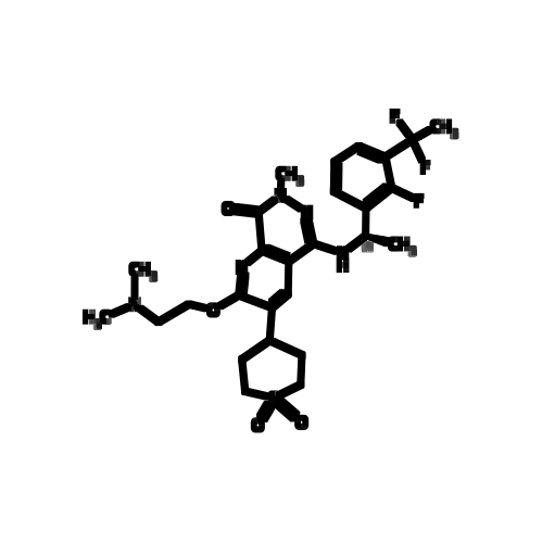 C[C@@H](Nc1nn(C)c(=O)c2nc(OCCN(C)C)c(C3CCS(=O)(=O)CC3)cc12)c1cccc(C(C)(F)F)c1F